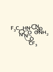 NS(=O)(=O)c1cc(NC(=O)c2cc(C(F)(F)F)cnc2N2CCO[C@H](C(F)(F)F)CC2)ccn1